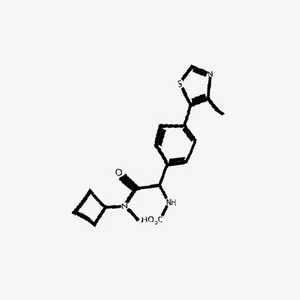 Cc1ncsc1-c1ccc(C(NC(=O)O)C(=O)N(C)C2CCC2)cc1